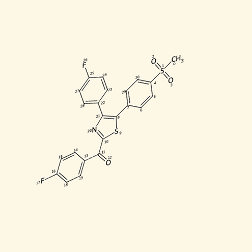 CS(=O)(=O)c1ccc(-c2sc(C(=O)c3ccc(F)cc3)nc2-c2ccc(F)cc2)cc1